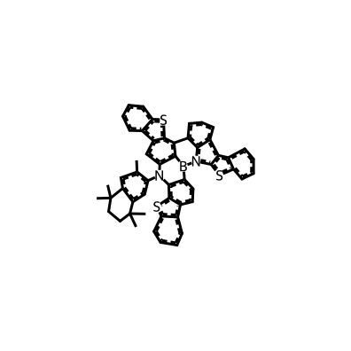 Cc1cc2c(cc1N1c3cc4c(sc5ccccc54)c4c3B(c3ccc5c(sc6ccccc65)c31)n1c3sc5ccccc5c3c3cccc-4c31)C(C)(C)CCC2(C)C